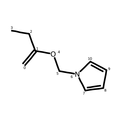 C=C(CC)OCn1cccc1